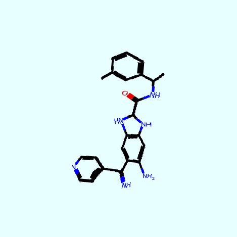 Cc1cccc(C(C)NC(=O)C2Nc3cc(N)c(C(=N)c4ccncc4)cc3N2)c1